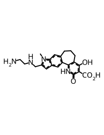 Cn1c(CNCCN)cc2cc3c(cc21)CCCc1c-3[nH]c(=O)c(C(=O)O)c1O